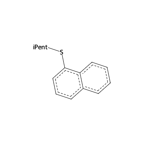 [CH2]C(CCC)Sc1cccc2ccccc12